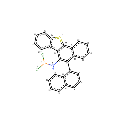 ClP(Cl)Nc1c(-c2cccc3ccccc23)c2ccccc2c2sc3ccccc3c12